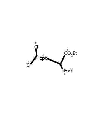 CCCCCCCC(CCCCCC)C(=O)OCC.ClCCl